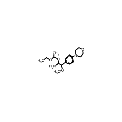 CCOC(C)OC(N)C(OC)c1ccc(N2CCOCC2)cc1